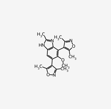 COc1c(-c2c(C)noc2C)cc2[nH]c(C)nc2c1-c1c(C)noc1C